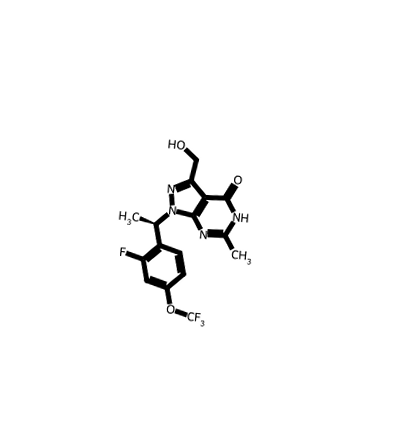 Cc1nc2c(c(CO)nn2[C@H](C)c2ccc(OC(F)(F)F)cc2F)c(=O)[nH]1